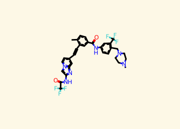 Cc1ccc(C(=O)Nc2ccc(CN3CCN(C)CC3)c(C(F)(F)F)c2)cc1C#Cc1ccn2cc(NC(=O)C(F)(F)F)nc2c1